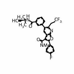 C#CC(C)(C)NC(=O)c1cccc(-c2cc3c(C(=O)NC)c(-c4ccc(F)cc4)oc3nc2CCC(F)(F)F)c1